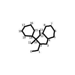 CCC(CC1CCCCC1)C(C)(CC)C1CCCCC1